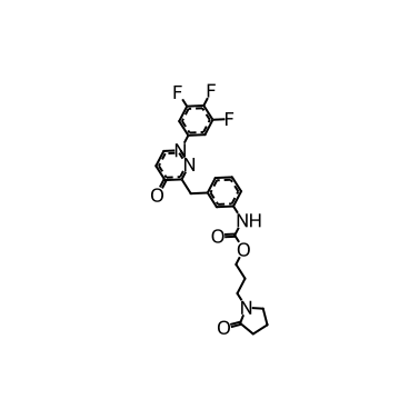 O=C(Nc1cccc(Cc2nn(-c3cc(F)c(F)c(F)c3)ccc2=O)c1)OCCCN1CCCC1=O